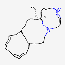 C1=CC2C[C@H]3CN=CN3CC2C=C1